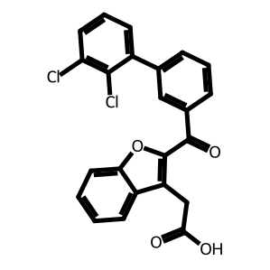 O=C(O)Cc1c(C(=O)c2cccc(-c3cccc(Cl)c3Cl)c2)oc2ccccc12